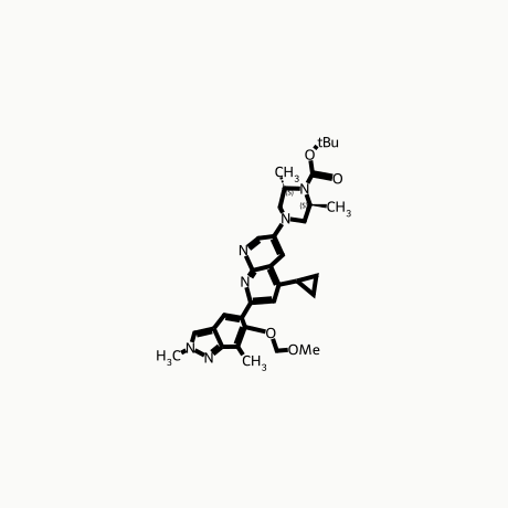 COCOc1c(-c2cc(C3CC3)c3cc(N4C[C@H](C)N(C(=O)OC(C)(C)C)[C@@H](C)C4)cnc3n2)cc2cn(C)nc2c1C